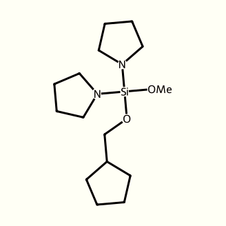 CO[Si](OCC1CCCC1)(N1CCCC1)N1CCCC1